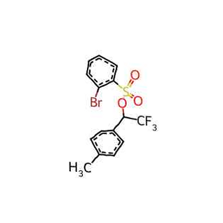 Cc1ccc(C(OS(=O)(=O)c2ccccc2Br)C(F)(F)F)cc1